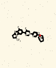 CCN1CC2CCC(C1)N2Cc1ccc(N2C=C(F)C(c3cc(F)c4nc5n(c4c3)[C@H](C(F)(F)F)CC5)=NC2)nc1